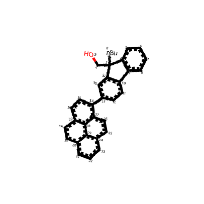 CCCCC1(CO)c2ccccc2-c2ccc(-c3ccc4ccc5cccc6ccc3c4c56)cc21